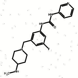 CNC1CCN(Cc2cc(F)cc(NC(=O)Nc3cccnc3)c2)CC1